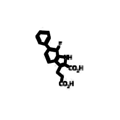 O=C(O)CCc1c(C(=O)O)[nH]c2c(F)c(-c3ccccc3)ccc12